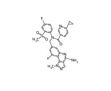 Cn1ncc2c(N)nc3cc(CN(C(=O)c4ccc(C5CC5)nc4)c4ccc(F)cc4S(C)(=O)=O)cc(F)c3c21